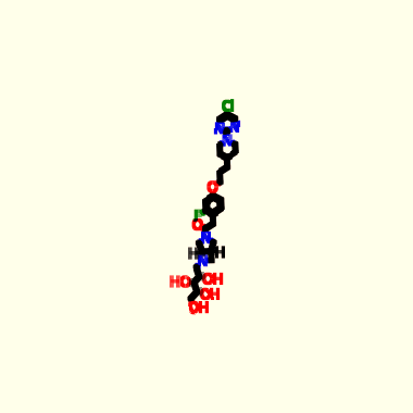 O=C(Cc1ccc(OCCCC2CCN(c3ncc(Cl)cn3)CC2)cc1F)N1C[C@H]2CN(C[C@H](O)[C@H](O)[C@H](O)CO)[C@H]2C1